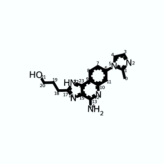 Cc1nccn1-c1ccc2c(c1)nc(N)c1nc(CCCO)[nH]c12